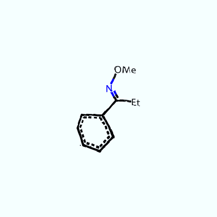 CCC(=NOC)c1cc[c]cc1